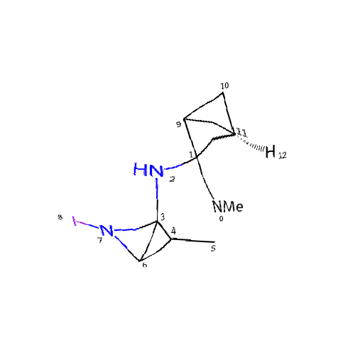 CNC1(NC23C(C)C2N3I)C2C[C@H]21